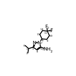 CC(C)c1cc(N)n(C2CCC(F)(F)CC2)n1